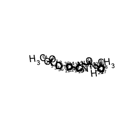 CCOC(=O)C[C@H]1CC[C@H](c2ccc(-c3ccc4nc(C(=O)NCc5ccccc5C)cn4c3)cc2)CC1